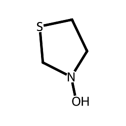 ON1CCSC1